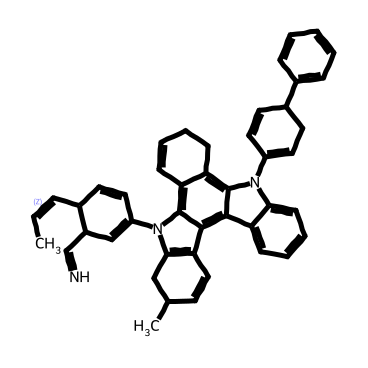 C/C=C\C1C=CC(n2c3c(c4c5c6ccccc6n(C6=CCC(c7ccccc7)C=C6)c5c5c(c42)C=CCC5)C=CC(C)C3)=CC1C=N